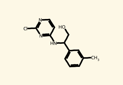 Cc1cccc(C(CO)Nc2ccnc(Cl)n2)c1